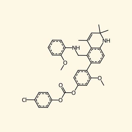 COc1ccccc1NCc1c(-c2ccc(OC(=O)Oc3ccc(Cl)cc3)cc2OC)ccc2c1C(C)=CC(C)(C)N2